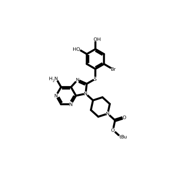 CC(C)(C)OC(=O)N1CCC(n2c(Sc3cc(O)c(O)cc3Br)nc3c(N)ncnc32)CC1